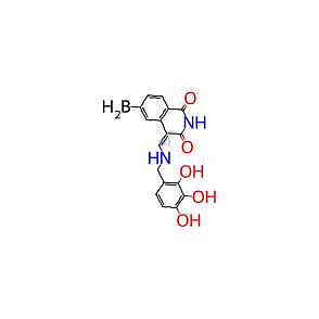 Bc1ccc2c(c1)/C(=C/NCc1ccc(O)c(O)c1O)C(=O)NC2=O